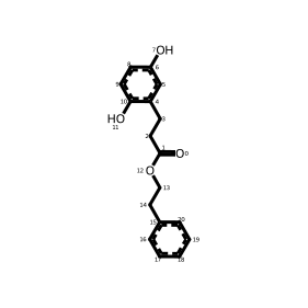 O=C(CCc1cc(O)ccc1O)OCCc1ccccc1